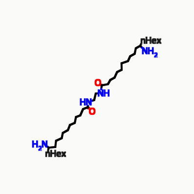 CCCCCCC(N)CCCCCCCCCCC(=O)NCCNC(=O)CCCCCCCCCCC(N)CCCCCC